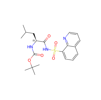 CC(C)C[C@H](NC(=O)OC(C)(C)C)C(=O)NS(=O)(=O)c1cccc2cccnc12